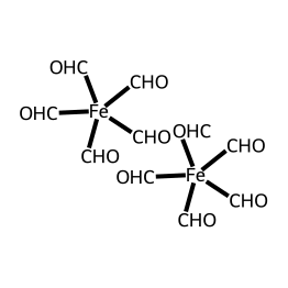 O=[CH][Fe]([CH]=O)([CH]=O)([CH]=O)[CH]=O.O=[CH][Fe]([CH]=O)([CH]=O)([CH]=O)[CH]=O